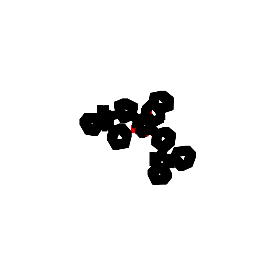 c1ccc(-n2c(-c3cccc(-c4cccc5c4C4c6ccccc6C5c5c(-c6cccc(-c7nc8ccccc8n7-c7ccccc7)c6)cccc54)c3)nc3ccccc32)cc1